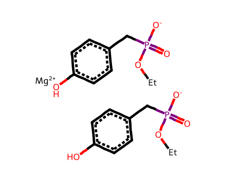 CCOP(=O)([O-])Cc1ccc(O)cc1.CCOP(=O)([O-])Cc1ccc(O)cc1.[Mg+2]